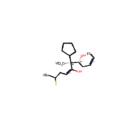 CC/C=C\C[C@@H](O)[C@@](C(=O)O)(/C(O)=C\CC(F)CCCC)C1CCCC1